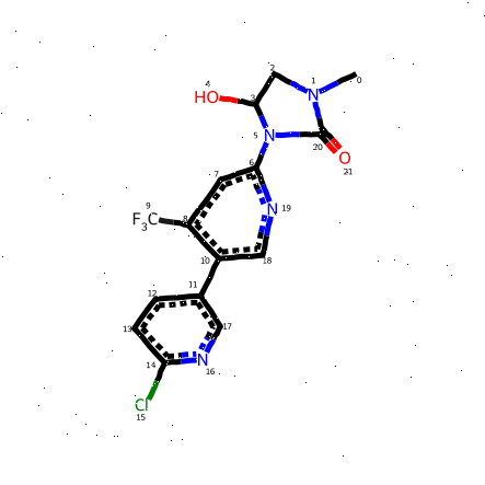 CN1CC(O)N(c2cc(C(F)(F)F)c(-c3ccc(Cl)nc3)cn2)C1=O